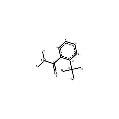 CN(C)C(=O)c1ccccc1C(C)(C)C